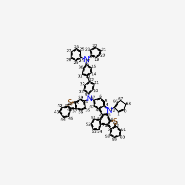 C1=CC(n2c3ccc(N(c4ccc(-c5ccc(N(c6ccccc6)c6ccccc6)cc5)cc4)c4ccc5c(c4)sc4ccccc45)cc3c3c4ccccc4c4c5ccccc5sc4c32)=CCC1